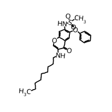 CCCCCCCCCNc1coc2cc(NS(C)(=O)=O)c(Oc3ccccc3)cc2c1=O